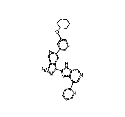 c1ccc(-c2cncc3[nH]c(-c4n[nH]c5cnc(-c6cncc(OC7CCCCC7)c6)cc45)nc23)nc1